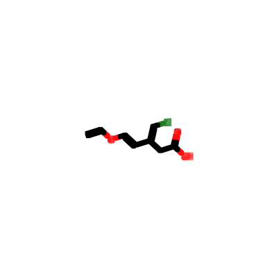 C=COC=CC(=CCl)CC(=O)O